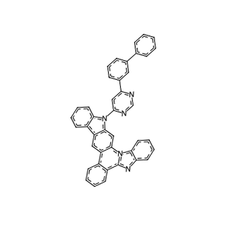 c1ccc(-c2cccc(-c3cc(-n4c5ccccc5c5cc6c7ccccc7c7nc8ccccc8n7c6cc54)ncn3)c2)cc1